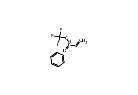 C=C[PH](=O)OC(F)(F)F.c1ccccc1